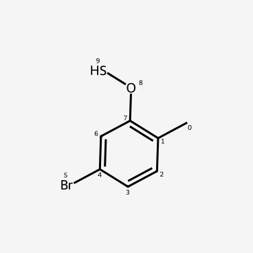 Cc1ccc(Br)cc1OS